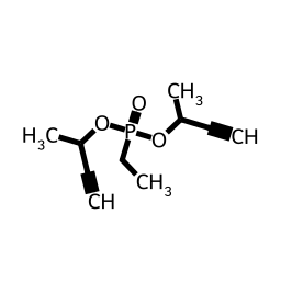 C#CC(C)OP(=O)(CC)OC(C)C#C